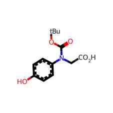 CC(C)(C)OC(=O)N(CC(=O)O)c1ccc(O)cc1